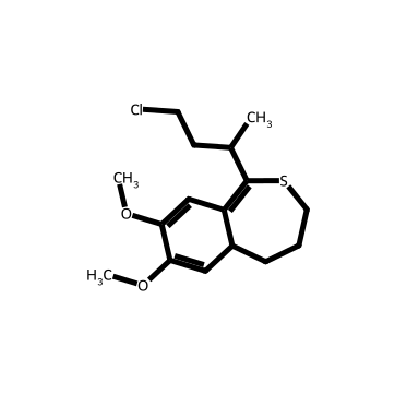 COC1=CC2=C(C(C)CCCl)SCCCC2C=C1OC